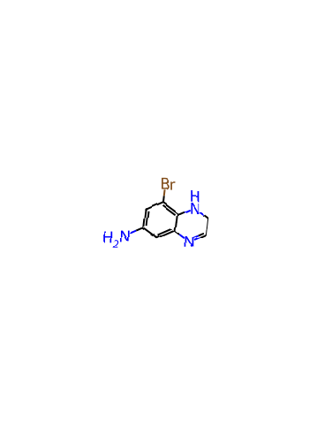 Nc1cc(Br)c2c(c1)N=CCN2